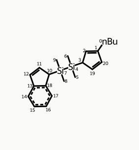 CCCCC1=CC([Si](C)(C)[Si](C)(C)C2C=Cc3ccccc32)C=C1